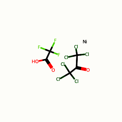 O=C(C(Cl)(Cl)Cl)C(Cl)(Cl)Cl.O=C(O)C(F)(F)F.[Ni]